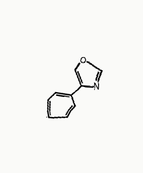 [c]1ccc(-c2cocn2)cc1